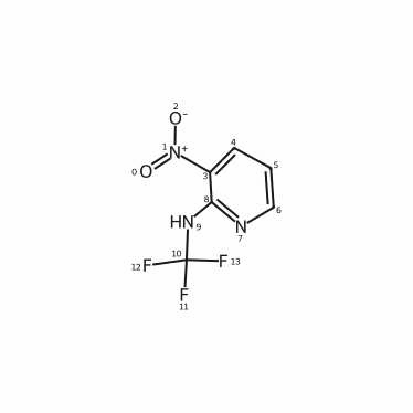 O=[N+]([O-])c1cccnc1NC(F)(F)F